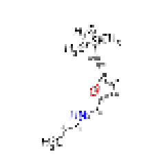 CCCNCc1ccc(C#C[Si](C)(C)C)o1